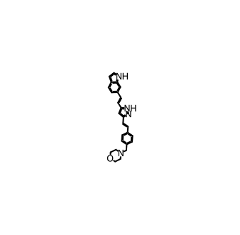 C(=C\c1cc(/C=C/c2ccc3cc[nH]c3c2)[nH]n1)/c1ccc(CN2CCOCC2)cc1